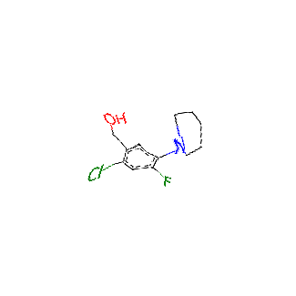 OCc1cc(N2CCCCC2)c(F)cc1Cl